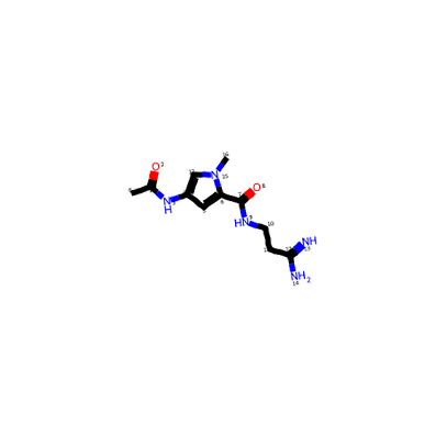 CC(=O)Nc1cc(C(=O)NCCC(=N)N)n(C)c1